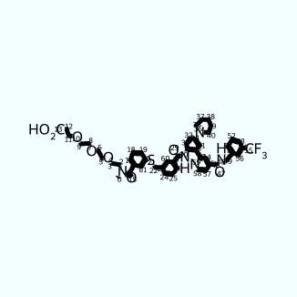 CN(CCOCCOCCOCCC(=O)O)C(=O)c1cccc(SCc2cccc(C(=O)Nc3ccc(N4CCCCC4)cc3-c3cc(C(=O)NCc4cccc(C(F)(F)F)c4)ccn3)c2)c1